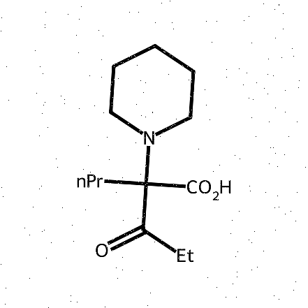 CCCC(C(=O)O)(C(=O)CC)N1CCCCC1